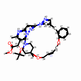 COC(=O)[C@@H](OC(C)(C)C)c1c(C)nc2cc3nn2c1N1CCC(C)(CC1)OC/C=C/COc1ccccc1Cc1cnn-3c1